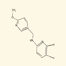 COc1ccc(CNc2ccc(I)c(I)n2)cn1